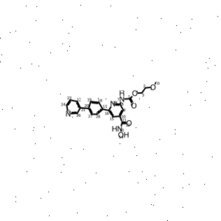 COCCOC(=O)Nc1cc(C(=O)NO)cc(-c2ccc(-c3cccnc3)cc2)n1